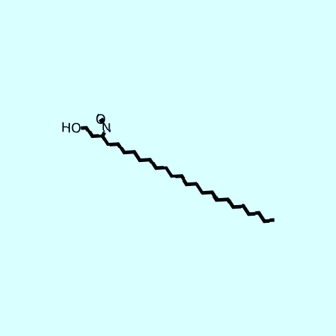 CCCCCCCCCCCCCCCCCCCCCCC(CCO)N=O